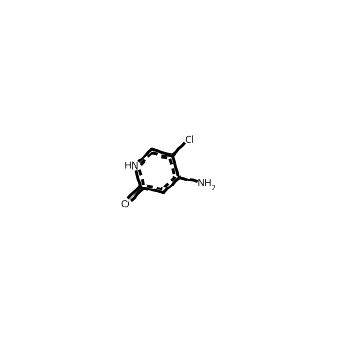 Nc1cc(=O)[nH]cc1Cl